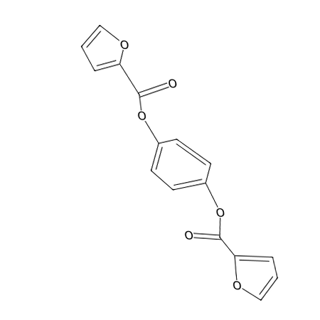 O=C(Oc1ccc(OC(=O)c2ccco2)cc1)c1ccco1